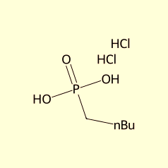 CCCCCP(=O)(O)O.Cl.Cl